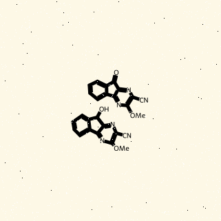 COc1nc2c(nc1C#N)C(=O)c1ccccc1-2.COc1nc2c(nc1C#N)C(O)c1ccccc1-2